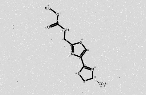 CC(C)(C)OC(=O)NCc1nc(C2=N[C@H](C(=O)O)CS2)cs1